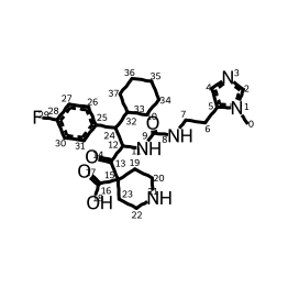 Cn1cncc1CCNC(=O)NC(C(=O)C1(C(=O)O)CCNCC1)C(c1ccc(F)cc1)C1CCCCC1